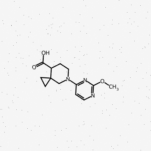 COc1nccc(N2CCC(C(=O)O)C3(CC3)C2)n1